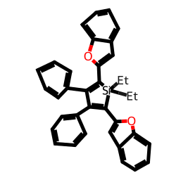 CC[Si]1(CC)C(c2cc3ccccc3o2)=C(c2ccccc2)C(c2ccccc2)=C1c1cc2ccccc2o1